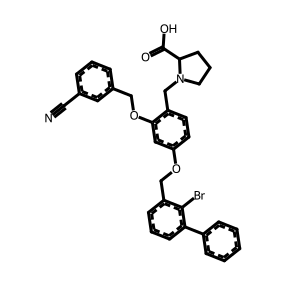 N#Cc1cccc(COc2cc(OCc3cccc(-c4ccccc4)c3Br)ccc2CN2CCCC2C(=O)O)c1